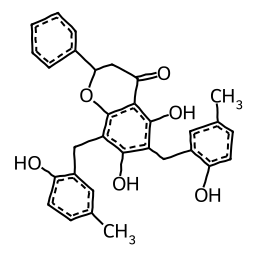 Cc1ccc(O)c(Cc2c(O)c(Cc3cc(C)ccc3O)c3c(c2O)C(=O)CC(c2ccccc2)O3)c1